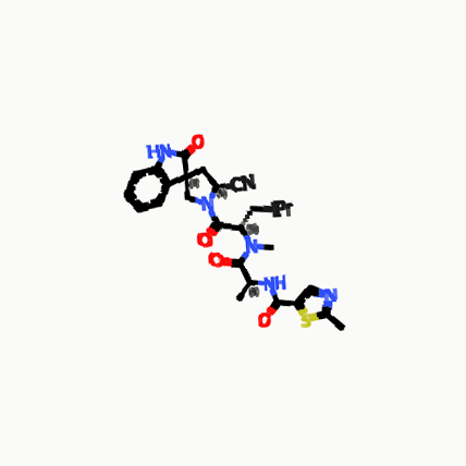 Cc1ncc(C(=O)N[C@@H](C)C(=O)N(C)[C@@H](CC(C)C)C(=O)N2C[C@]3(C[C@H]2C#N)C(=O)Nc2ccccc23)s1